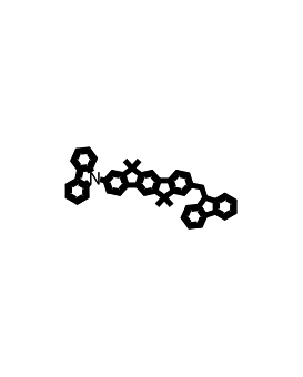 CC1(C)c2cc(CC3c4ccccc4-c4ccccc43)ccc2-c2cc3c(cc21)-c1ccc(-n2c4ccccc4c4ccccc42)cc1C3(C)C